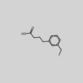 O=C(O)CCCc1cccc(CI)c1